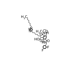 CCCCCCCCn1cc(CCCCCCC(C(=O)O)c2c3n(cc(C(=O)NCc4ccc(F)cc4F)c2=O)C[C@@H]2OCC[C@@H](C)N2C3=O)nn1